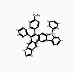 COc1ccc(-c2c(-c3ccccc3)c3cc4sccc4cc3c3cc4c5ccccc5n(-c5ccccc5)c4cc23)cc1